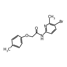 Cc1ccc(OCC(=O)Nc2ccc(Br)c(C)n2)cc1